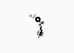 Cc1ccc(S(=O)OCCCC(F)(F)C(F)(F)F)cc1